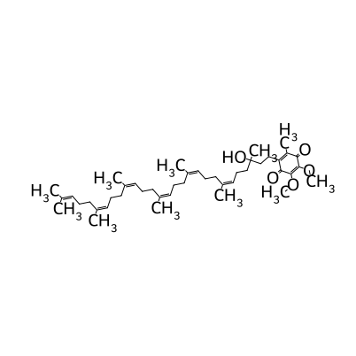 COC1=C(OC)C(=O)C(CCC(C)(O)CCC=C(C)CCC=C(C)CCC=C(C)CCC=C(C)CCC=C(C)CCC=C(C)C)=C(C)C1=O